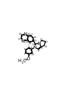 COc1cccc(N2C=C3CCCN3C2c2ccc3nccnc3c2)c1